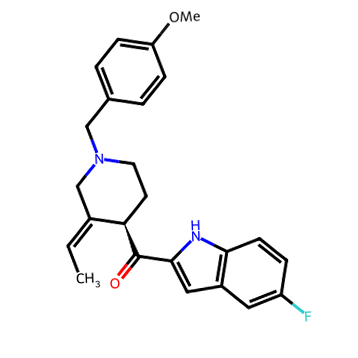 C/C=C1/CN(Cc2ccc(OC)cc2)CC[C@H]1C(=O)c1cc2cc(F)ccc2[nH]1